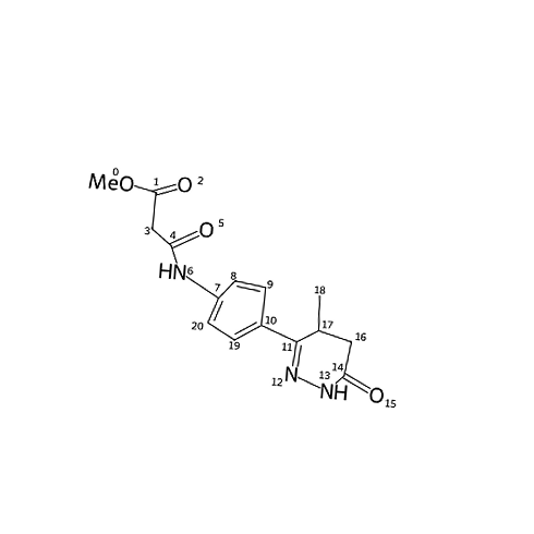 COC(=O)CC(=O)Nc1ccc(C2=NNC(=O)CC2C)cc1